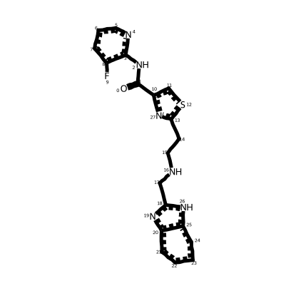 O=C(Nc1ncccc1F)c1csc(CCNCc2nc3ccccc3[nH]2)n1